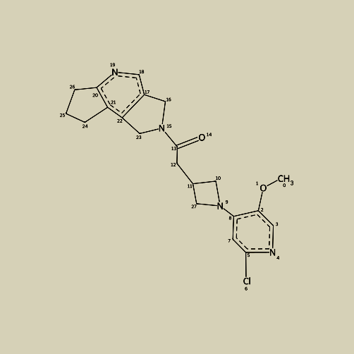 COc1cnc(Cl)cc1N1CC(CC(=O)N2Cc3cnc4c(c3C2)CCC4)C1